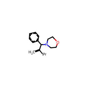 C=C(C(C)C)C(c1ccccc1)N1CCOCC1